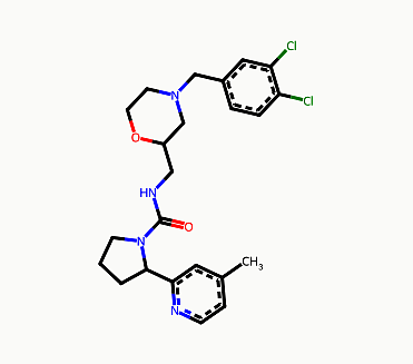 Cc1ccnc(C2CCCN2C(=O)NCC2CN(Cc3ccc(Cl)c(Cl)c3)CCO2)c1